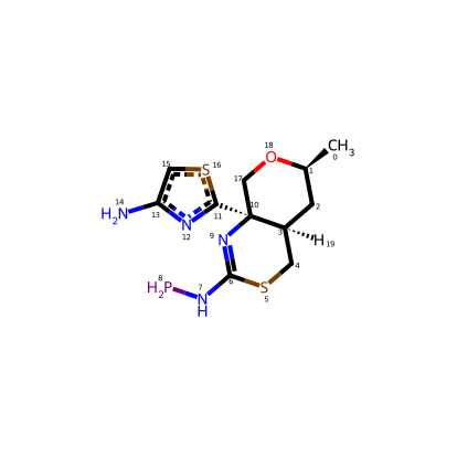 C[C@H]1C[C@H]2CSC(NP)=N[C@@]2(c2nc(N)cs2)CO1